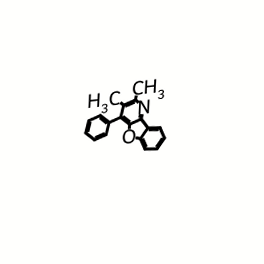 Cc1nc2c(oc3ccccc32)c(-c2ccccc2)c1C